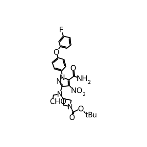 CC(C)(C)OC(=O)N1CC(N(CC=O)c2nn(-c3ccc(Oc4cccc(F)c4)cc3)c(C(N)=O)c2[N+](=O)[O-])C1